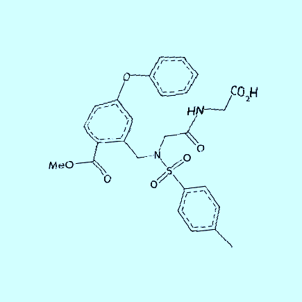 COC(=O)c1ccc(Oc2ccccc2)cc1CN(CC(=O)NCC(=O)O)S(=O)(=O)c1ccc(C)cc1